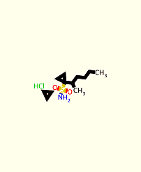 C1CC1.CCCCC(C)C1(S(N)(=O)=O)CC1.Cl